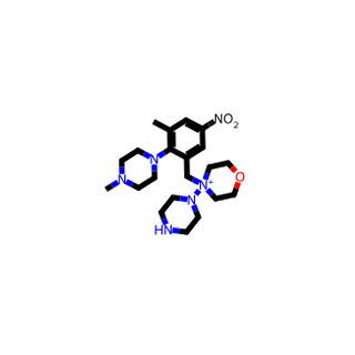 Cc1cc([N+](=O)[O-])cc(C[N+]2(N3CCNCC3)CCOCC2)c1N1CCN(C)CC1